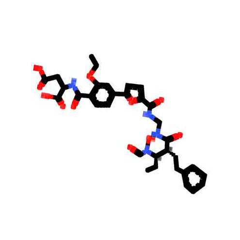 CCOc1cc(-c2ccc(C(=O)NCNC(=O)[C@H](CCc3ccccc3)[C@@H](CC)N(O)C=O)o2)ccc1C(=O)NC(CC(=O)O)C(=O)O